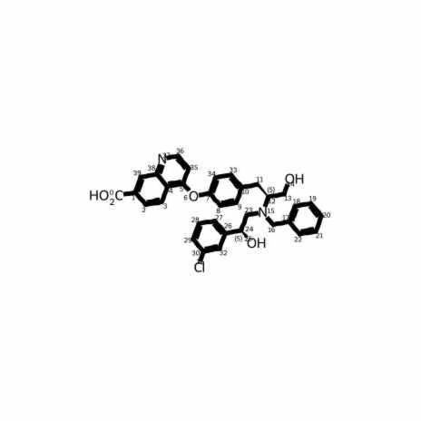 O=C(O)c1ccc2c(Oc3ccc(C[C@@H](CO)N(Cc4ccccc4)C[C@@H](O)c4cccc(Cl)c4)cc3)ccnc2c1